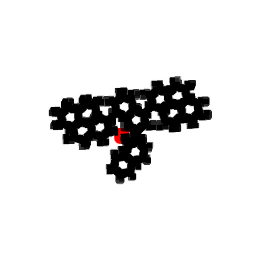 c1ccc2c(c1)ccc1c3cc(-c4ccc5ccc6cccc7ccc4c5c67)c4cccc(-c5ccc6ccc7cccc8ccc5c6c78)c4c3oc21